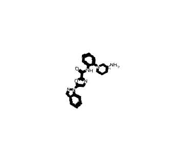 N[C@@H]1CCCN(c2ccccc2NC(=O)c2ncc(-n3ncc4ccccc43)o2)C1